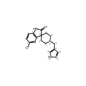 O=C1Nc2ccc(Cl)cc2C12CCN(Cc1cn[nH]c1)CC2